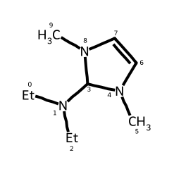 CCN(CC)C1N(C)C=CN1C